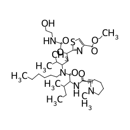 CCCCCCN(C(=O)C(NC(=O)[C@H]1CCCCN1C)C(C)CC)C(CC(OC(=O)NCCO)c1nc(C(=O)OCC)cs1)C(C)C